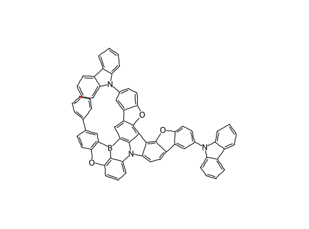 c1ccc(-c2ccc3c(c2)B2c4c(cccc4-n4c5ccc6c7cc(-n8c9ccccc9c9ccccc98)ccc7oc6c5c5c6oc7ccc(-n8c9ccccc9c9ccccc98)cc7c6cc2c54)O3)cc1